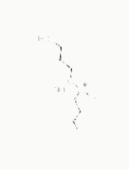 CCCCOP(=O)(O)CCCC.[AlH3]